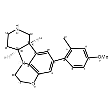 COc1ccc(-c2cc3c4c(c2)[C@@H]2CNCC[C@@H]2N4CCO3)c(C)c1